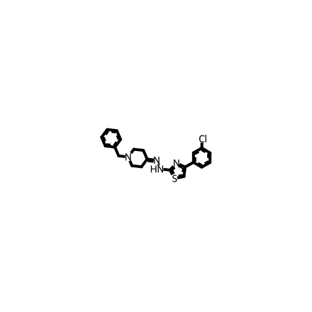 Clc1cccc(-c2csc(NN=C3CCN(Cc4ccccc4)CC3)n2)c1